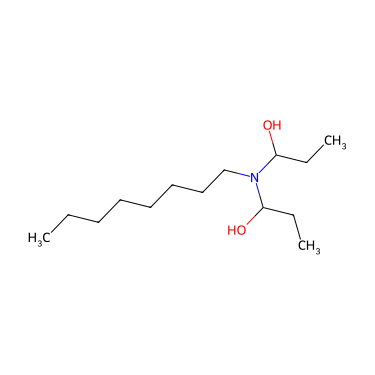 CCCCCCCCN(C(O)CC)C(O)CC